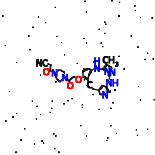 Cc1cnc2nc1Nc1ccc(OCC(=O)N3CCN(C(=O)CC#N)CC3)c(c1)CCc1cncc(c1)N2